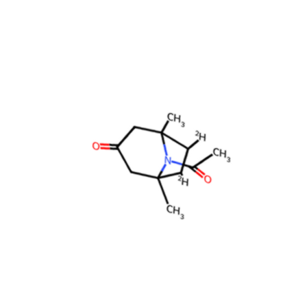 [2H]C1C([2H])C2(C)CC(=O)CC1(C)N2C(C)=O